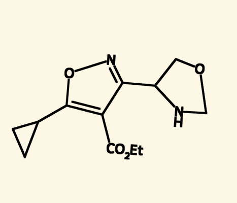 CCOC(=O)c1c(C2COCN2)noc1C1CC1